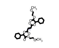 COCCOC(=O)C(OC(=O)/C=C/C(=O)OC(C(=O)OCCOC)C1CCCCC1)C1CCCCC1